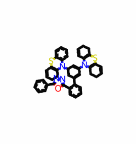 C1=CC2=C(CC1)SC1=C(CCC=C1)N2C1=CC(N2C3=C(C=CCC3)Sc3ccccc32)CC(c2ccccc2-c2nnc(-c3ccccc3)o2)=C1